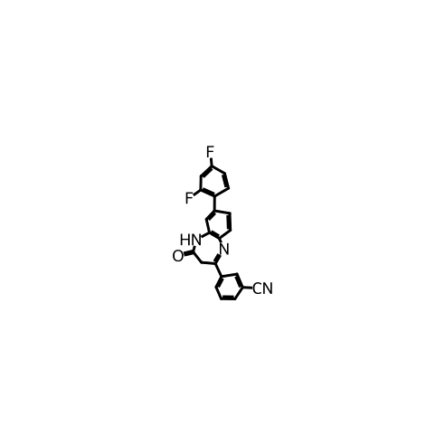 N#Cc1cccc(C2=Nc3ccc(-c4ccc(F)cc4F)cc3NC(=O)C2)c1